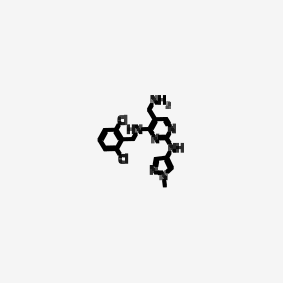 Cn1cc(Nc2ncc(CN)c(NCc3c(Cl)cccc3Cl)n2)cn1